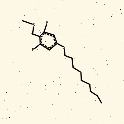 CCCCCCCCCSc1cc(F)c(CSC)c(F)c1